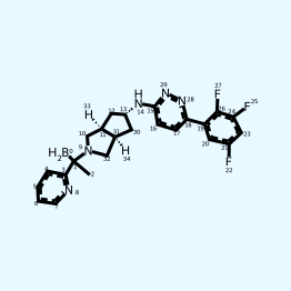 BC(C)(c1ccccn1)N1C[C@H]2C[C@H](Nc3ccc(-c4cc(F)cc(F)c4F)nn3)C[C@H]2C1